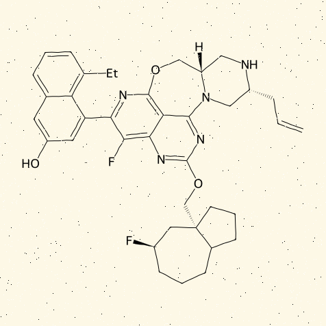 C=CC[C@@H]1CN2c3nc(OC[C@]45CCCC4CCC[C@@H](F)C5)nc4c(F)c(-c5cc(O)cc6cccc(CC)c56)nc(c34)OC[C@@H]2CN1